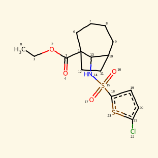 CCOC(=O)C12CCCCC(CC1)C2NS(=O)(=O)c1ccc(Cl)s1